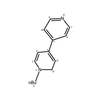 CCCCN1C=CC(c2ccncc2)=CC1